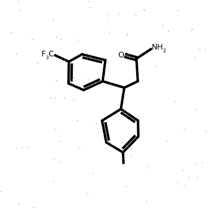 Cc1ccc(C(CC(N)=O)c2ccc(C(F)(F)F)cc2)cc1